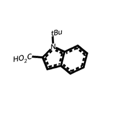 CC(C)(C)n1c(C(=O)O)cc2ccccc21